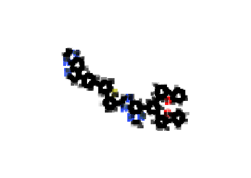 c1ccc2c(c1)oc1c(-c3cc(-c4cc5ncc(-c6cccc7c6sc6ccc(-c8ccc(-c9ccnc%10c9ccc9nccnc9%10)cc8)cc67)nc5c5nccnc45)cc(-c4cccc5c4oc4ccccc45)c3)cccc12